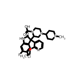 CCOc1ncccc1C1(C2CN(C3CCN(C)CC3)CCN2C(=O)O)C(=O)Nc2cc(F)c(Cl)cc21